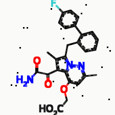 Cc1cc(OCC(=O)O)c2c(C(=O)C(N)=O)c(C)c(Cc3ccccc3-c3ccc(F)cc3)n2n1